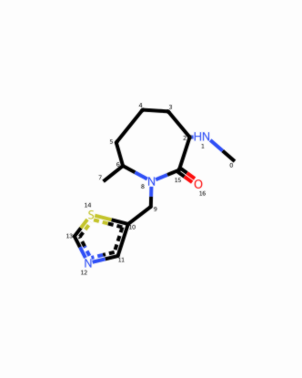 CNC1CCCC(C)N(Cc2cncs2)C1=O